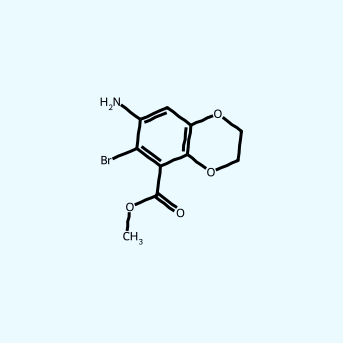 COC(=O)c1c(Br)c(N)cc2c1OCCO2